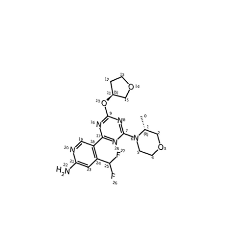 C[C@@H]1COCCN1c1nc(O[C@H]2CCOC2)nc(-c2cnc(N)cc2C(F)F)n1